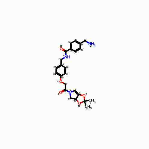 CC1(C)OC2=CN(C(=O)COc3ccc(CNC(=O)c4ccc(CN)cc4)cc3)CC2O1